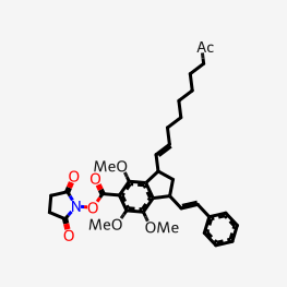 COc1c(OC)c2c(c(OC)c1C(=O)ON1C(=O)CCC1=O)C(C=CCCCCCCC(C)=O)CC2C=Cc1ccccc1